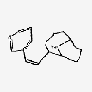 C(=C/C1CCCC2CCC1N2)/c1cccnc1